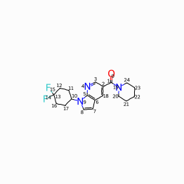 O=C(c1cnc2c(ccn2C2CCC(F)(F)CC2)c1)N1CCCCC1